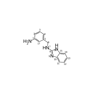 Nc1cccc(CNc2nc3ccccc3[nH]2)c1